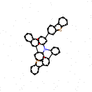 c1cc(-c2ccc3c(c2)sc2ccccc23)cc(N(c2ccccc2-c2ccc3ccccc3c2)c2ccccc2-c2ccc3c(c2)sc2ccccc23)c1